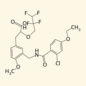 CCOc1ccc(C(=O)NCc2cc(CC(OCC(F)(F)C(F)F)C(=O)O)ccc2OC)c(Cl)c1